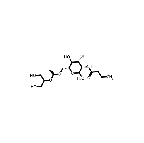 CCCC(=O)N[C@H]1C(C)O[C@H](COC(=O)OC(CO)CO)[C@@H](O)[C@@H]1O